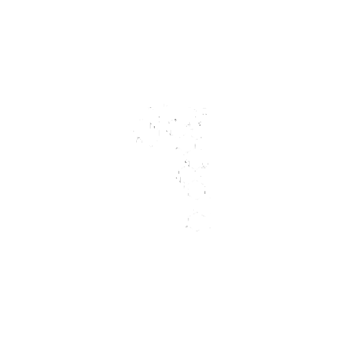 O=C(Nc1cc(-n2cnc3cc(-c4ccccc4)ccc3c2=O)ccc1OC(F)(F)F)C1(N2CCOCC2)CC1